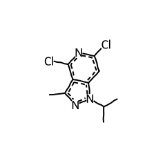 Cc1nn(C(C)C)c2cc(Cl)nc(Cl)c12